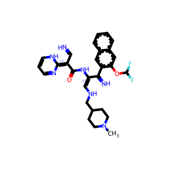 CN1CCC(CN/C=C(/NC(=O)/C(C=N)=C2\N=CC=CN2)C(=N)c2cc3ccccc3cc2OC(F)F)CC1